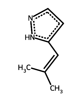 CC(C)=Cc1ccn[nH]1